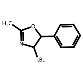 CC1=NC(C(C)(C)C)C(c2ccccc2)O1